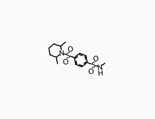 CNS(=O)(=O)c1ccc(S(=O)(=O)N2C(C)CCCC2C)cc1